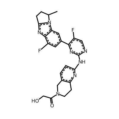 CC1CCc2nc3c(F)cc(-c4nc(Nc5ccc6c(n5)CCN(C(=O)CO)C6)ncc4F)cc3n21